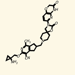 Cc1nc(OCC2(N)CC2)c(C#N)c2c1CC(CN1CCC3(CC1)CN(c1ccc4c(n1)NC(=O)CO4)C(=O)O3)C2